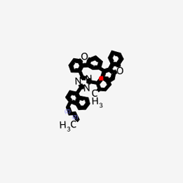 C/C=C\C=C/c1ccc(-c2nc(C3=CC=CCC3C)nc(-c3cccc4oc5ccc(-c6cccc7oc8ccccc8c67)cc5c34)n2)c2ccccc12